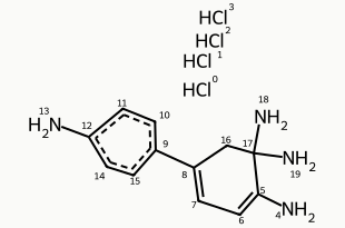 Cl.Cl.Cl.Cl.NC1=CC=C(c2ccc(N)cc2)CC1(N)N